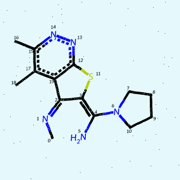 C/N=C1\C(=C(/N)N2CCCC2)Sc2nnc(C)c(C)c21